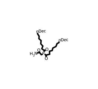 CCCCCCCCCCCCCCCCCC(=O)P(CC(N)=O)C(=O)CCCCCCCCCCCCCCCCC